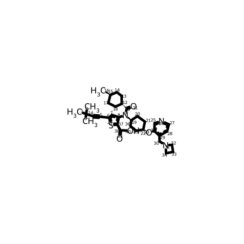 CC(C)(C)C#Cc1cc(N(C(=O)[C@H]2CC[C@H](C)CC2)[C@H]2CC[C@H](Oc3cnccc3CN3CCC3)CC2)c(C(=O)O)s1